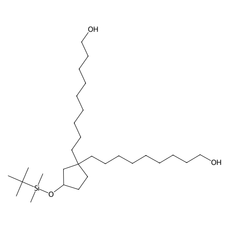 CC(C)(C)[Si](C)(C)OC1CCC(CCCCCCCCCO)(CCCCCCCCCO)C1